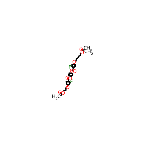 C=CC(=O)OCCCOc1ccc(C(=O)Oc2ccc(OC(=O)c3ccc(OCCCCCCOC(=O)C(=C)C)cc3F)cc2)c(F)c1